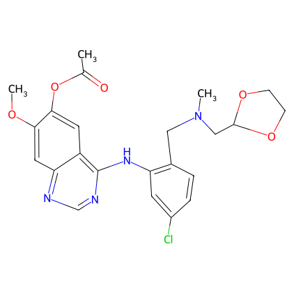 COc1cc2ncnc(Nc3cc(Cl)ccc3CN(C)CC3OCCO3)c2cc1OC(C)=O